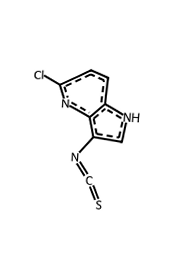 S=C=Nc1c[nH]c2ccc(Cl)nc12